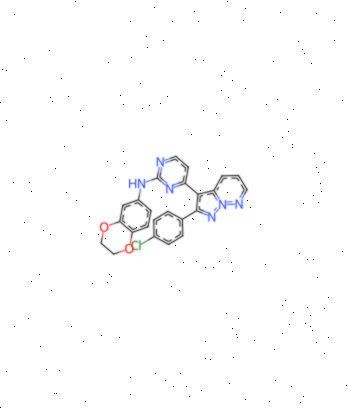 Clc1ccc(-c2nn3ncccc3c2-c2ccnc(Nc3ccc4c(c3)OCCO4)n2)cc1